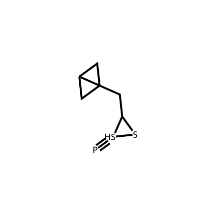 P#[SH]1SC1CC12CC1C2